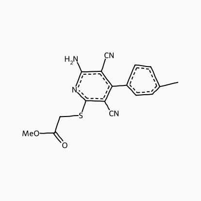 COC(=O)CSc1nc(N)c(C#N)c(-c2ccc(C)cc2)c1C#N